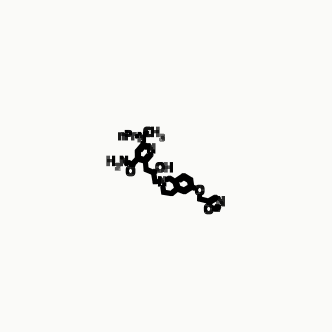 CCCN(C)c1cc(C(N)=O)c(CC(O)CN2CCc3cc(OCc4cnco4)ccc3C2)cn1